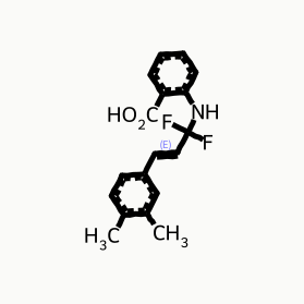 Cc1ccc(/C=C/C(F)(F)Nc2ccccc2C(=O)O)cc1C